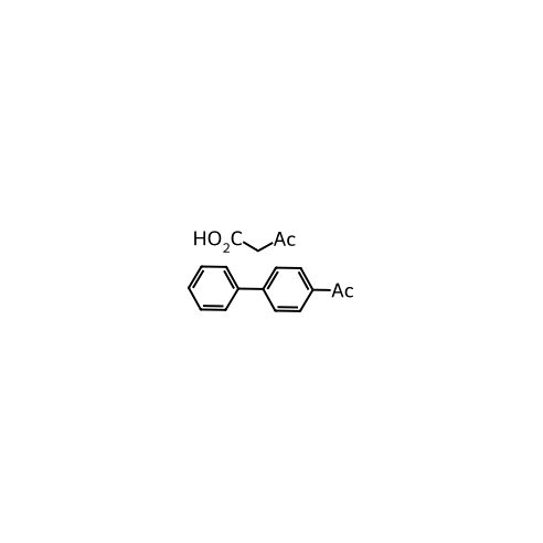 CC(=O)CC(=O)O.CC(=O)c1ccc(-c2ccccc2)cc1